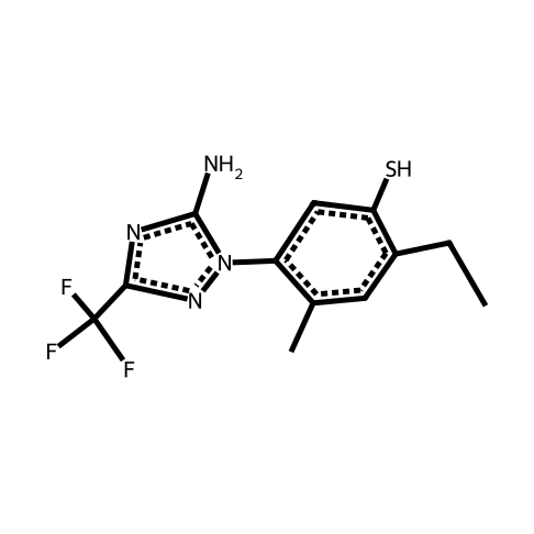 CCc1cc(C)c(-n2nc(C(F)(F)F)nc2N)cc1S